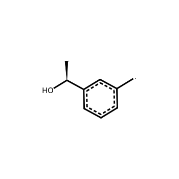 [CH2]c1cccc([C@H]([CH2])O)c1